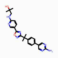 CC(C)(O)CNc1ccc(-c2nc(C(C)(C)c3ccc(-c4cnc(N)nc4)cc3)no2)cn1